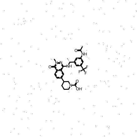 CC(=O)Nc1cc([C@@H](C)Nc2nn(C)c(=O)c3ccc(C4CCCN(C(=O)O)C4)cc23)cc(C(F)(F)F)c1